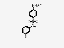 CC(=O)Nc1ccc(S(=O)(=O)N(C)c2cccc(C)c2)cc1